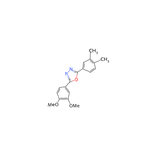 COc1ccc(-c2nnc(-c3ccc(C)c(C)c3)o2)cc1OC